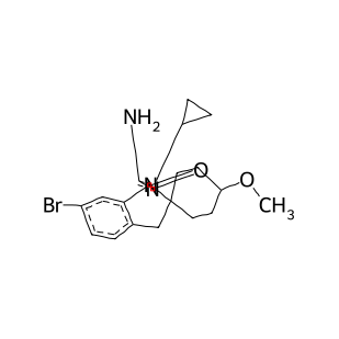 COC1CCC2(CC1)Cc1ccc(Br)cc1C21N=C(N)N(C2CC2)C1=O